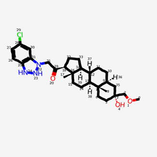 COC[C@@]1(O)CC[C@@]2(C)[C@@H](CC[C@@H]3[C@@H]2CC[C@]2(C)[C@@H](C(=O)CN4NNc5ccc(Cl)cc54)CC[C@@H]32)C1